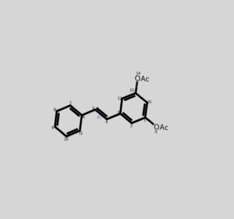 CC(=O)Oc1cc(/C=C/c2ccccc2)cc(OC(C)=O)c1